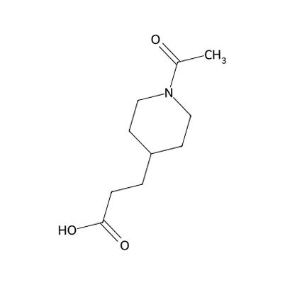 CC(=O)N1CCC(CCC(=O)O)CC1